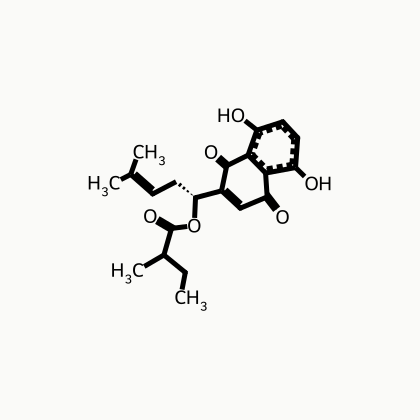 CCC(C)C(=O)O[C@H](CC=C(C)C)C1=CC(=O)c2c(O)ccc(O)c2C1=O